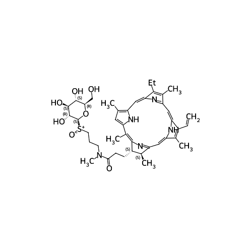 C=Cc1c(C)c2cc3nc(c(C)c4cc(C)c(cc5nc(cc1[nH]2)C(C)=C5CC)[nH]4)[C@@H](CCC(=O)N(C)CCC[S+]([O-])[C@@H]1O[C@H](CO)[C@@H](O)[C@H](O)[C@H]1O)[C@@H]3C